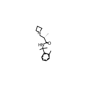 Cc1ccccc1C(C)(C)NC(=O)[C@@H](C)CN1CCC1